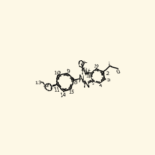 CCc1ccc2nn(-c3ccc(OC)cc3)[n+]([O-])c2c1